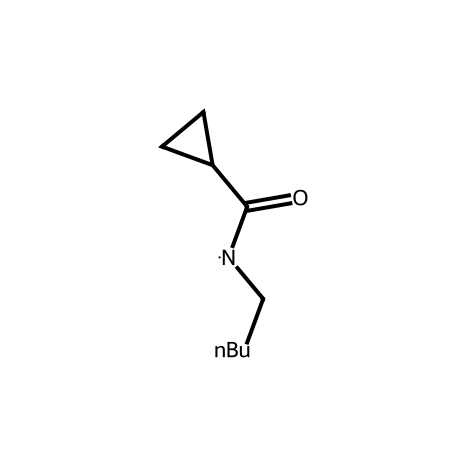 CCCCC[N]C(=O)C1CC1